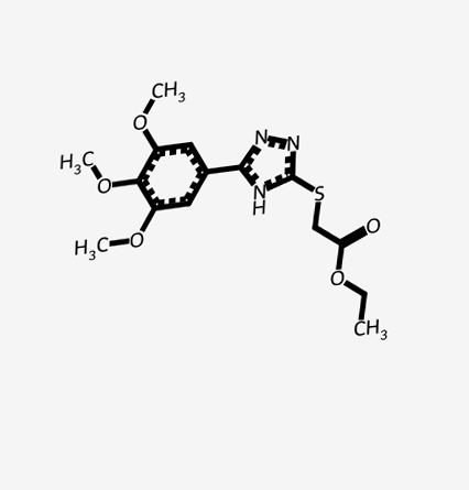 CCOC(=O)CSc1nnc(-c2cc(OC)c(OC)c(OC)c2)[nH]1